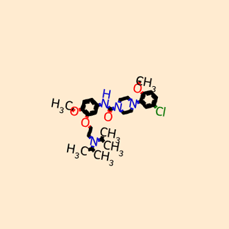 COc1ccc(NC(=O)N2CCN(c3cc(Cl)ccc3OC)CC2)cc1OCCN(C(C)C)C(C)C